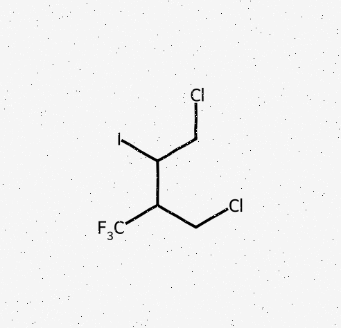 FC(F)(F)C(CCl)C(I)CCl